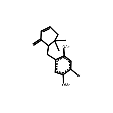 C=C1C=CCC(C)(C)C1Cc1cc(OC)c(Br)cc1OC(C)=O